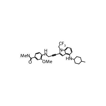 CNC(=O)c1ccc(NCC#Cc2cc3c(NC4CCC(C)CC4)cccc3n2CC(F)(F)F)c(OC)c1